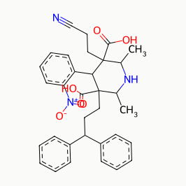 CC1NC(C)C(CCC(c2ccccc2)c2ccccc2)(C(=O)O)C(c2ccccc2[N+](=O)[O-])C1(CCC#N)C(=O)O